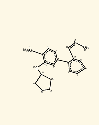 COc1ccc(-c2ccccc2/C=N\O)cc1OC1CCCC1